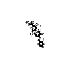 Cc1cc(-n2c(C)cc(OCc3ccc(F)cc3F)c(Br)c2=O)c(=O)[nH]c1C(O)CO